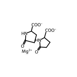 O=C1CCC(C(=O)[O-])N1.O=C1CCC(C(=O)[O-])N1.[Mg+2]